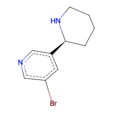 Brc1cncc([C@@H]2CCCCN2)c1